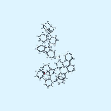 c1ccc(-c2cccc(-c3ccccc3)c2-c2cc(Oc3ccc4c5ccccc5n(-c5cc(C6(c7ccccc7)C7CC8CC(C7)CC6C8)ccn5)c4c3)cc(-n3c[n+](-c4c(-c5ccccc5)cccc4-c4ccccc4)c4ccccc43)c2)cc1